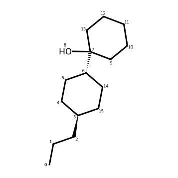 CCC[C@H]1CC[C@H](C2(O)CCCCC2)CC1